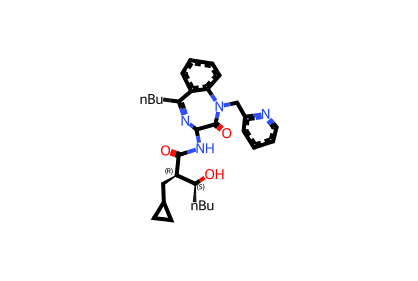 CCCCC1=NC(NC(=O)[C@H](CC2CC2)[C@@H](O)CCCC)C(=O)N(Cc2ccccn2)c2ccccc21